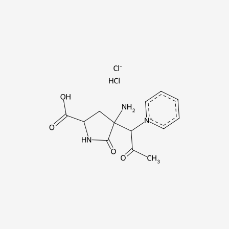 CC(=O)C([n+]1ccccc1)C1(N)CC(C(=O)O)NC1=O.Cl.[Cl-]